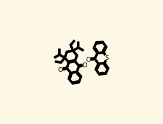 CCC1(C(C)C)CC2=C(C(=O)c3ccccc3C2=O)C(CC)(C(C)C)C1.O=c1c2ccccc2sc2ccccc12